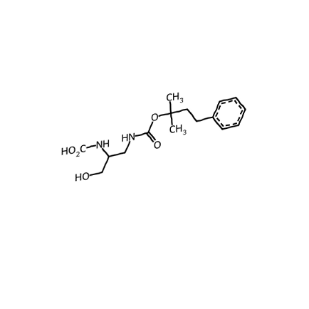 CC(C)(CCc1ccccc1)OC(=O)NCC(CO)NC(=O)O